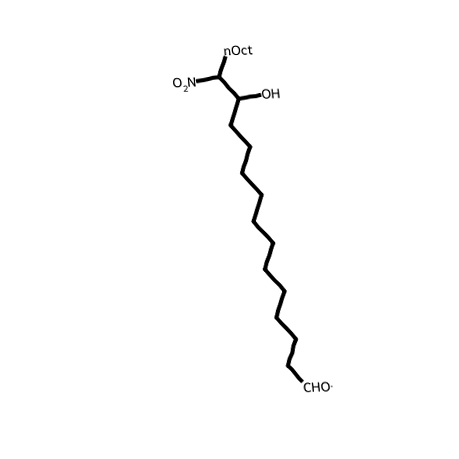 CCCCCCCCC(C(O)CCCCCCCCCCC[C]=O)[N+](=O)[O-]